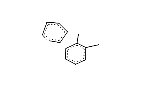 Fc1ccccc1F.c1ccncc1